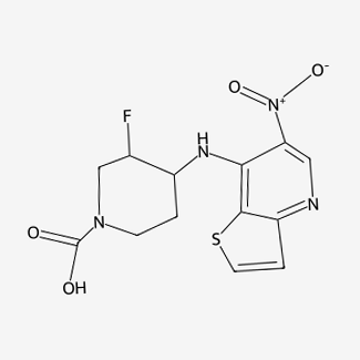 O=C(O)N1CCC(Nc2c([N+](=O)[O-])cnc3ccsc23)C(F)C1